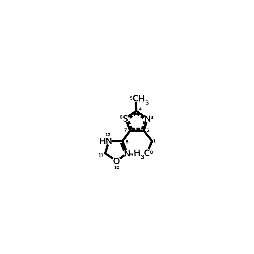 CCc1nc(C)sc1C1=NOCN1